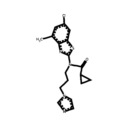 Cc1cc(Cl)cc2sc(N(CCCn3ccnc3)C(=O)C3CC3)nc12